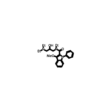 CCN(CC)CC(O)CN(CC)C(=O)c1c(OC)c2ccccc2n1-c1ccccc1